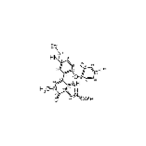 CCSNc1ccc(Oc2ccc(F)cc2F)c(C2=CN(C)C(=O)/C(=C/NOC)C2=N)c1